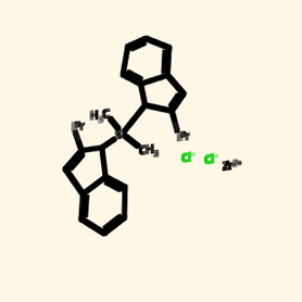 CC(C)C1=Cc2ccccc2C1[Si](C)(C)C1C(C(C)C)=Cc2ccccc21.[Cl-].[Cl-].[Zr+2]